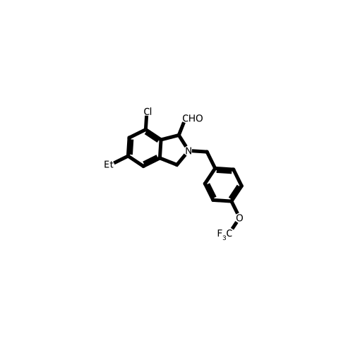 CCc1cc(Cl)c2c(c1)CN(Cc1ccc(OC(F)(F)F)cc1)C2C=O